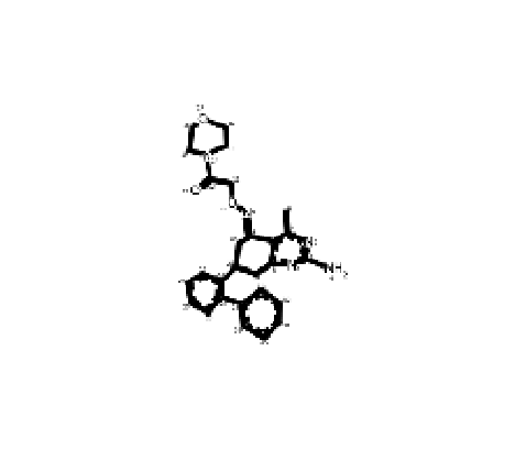 Cc1nc(N)nc2c1C(=NOCC(=O)N1CCOCC1)CC(c1ccccc1-c1ccccc1)C2